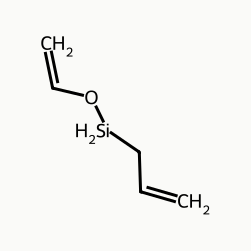 C=CC[SiH2]OC=C